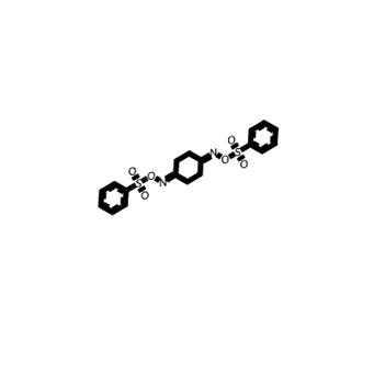 O=S(=O)(ON=C1CCC(=NOS(=O)(=O)c2ccccc2)CC1)c1ccccc1